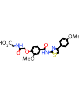 COc1ccc(-c2csc(NC(=O)c3ccc(OCC(=O)NCC(=O)O)c(OC)c3)n2)cc1